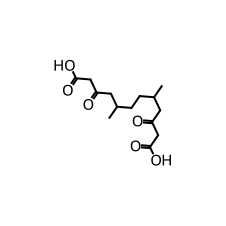 CC(CCC(C)CC(=O)CC(=O)O)CC(=O)CC(=O)O